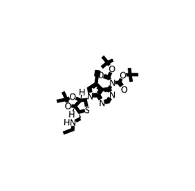 C#Cc1cn([C@@H]2S[C@H](CNCC)[C@H]3OC(C)(C)O[C@H]32)c2ncnc(N(C(=O)OC(C)(C)C)C(=O)OC(C)(C)C)c12